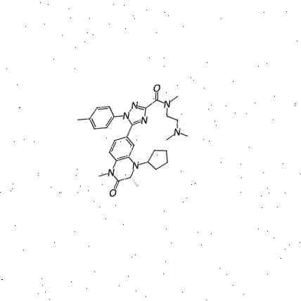 Cc1ccc(-n2nc(C(=O)N(C)CCN(C)C)nc2-c2ccc3c(c2)N(C2CCCC2)[C@H](C)C(=O)N3C)cc1